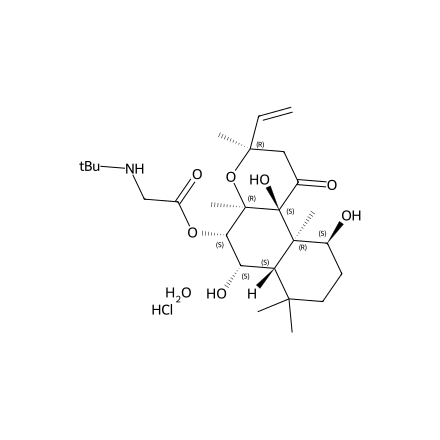 C=C[C@@]1(C)CC(=O)[C@]2(O)[C@@]3(C)[C@@H](O)CCC(C)(C)[C@@H]3[C@H](O)[C@H](OC(=O)CNC(C)(C)C)[C@@]2(C)O1.Cl.O